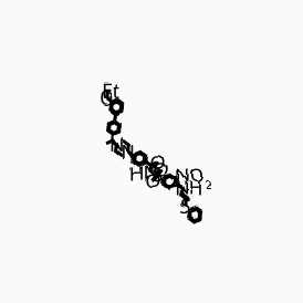 CCOc1cccc(-c2ccc(C(C)N3CCN(c4ccc(C(=O)NS(=O)(=O)c5ccc(NCCSc6ccccc6)c([N+](=O)[O-])c5)cc4)CC3)cc2)c1